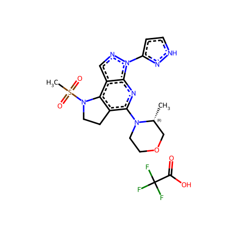 C[C@@H]1COCCN1c1nc2c(cnn2-c2cc[nH]n2)c2c1CCN2S(C)(=O)=O.O=C(O)C(F)(F)F